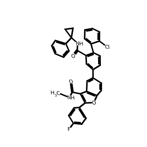 CNC(=O)c1c(-c2ccc(F)cc2)oc2ccc(-c3ccc(-c4ccccc4Cl)c(C(=O)NC4(c5ccccc5)CC4)c3)cc12